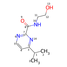 CC(C)c1ccnc(C(=O)NCCO)n1